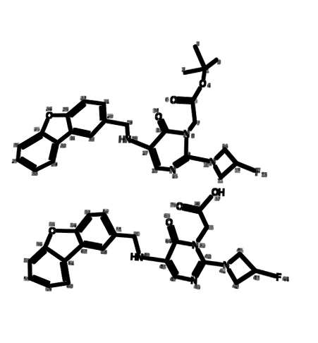 CC(C)(C)OC(=O)Cn1c(N2CC(F)C2)ncc(NCc2ccc3oc4ccccc4c3c2)c1=O.O=C(O)Cn1c(N2CC(F)C2)ncc(NCc2ccc3oc4ccccc4c3c2)c1=O